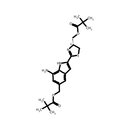 CC(C)(C)C(=O)OCc1cc(N)c2[nH]c(C3=N[C@H](COC(=O)C(C)(C)C)CS3)cc2c1